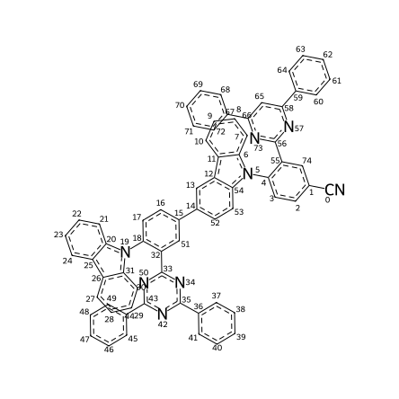 N#Cc1ccc(-n2c3ccccc3c3cc(-c4ccc(-n5c6ccccc6c6ccccc65)c(-c5nc(-c6ccccc6)nc(-c6ccccc6)n5)c4)ccc32)c(-c2nc(-c3ccccc3)cc(-c3ccccc3)n2)c1